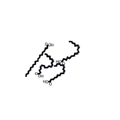 CC/C=C\C/C=C\C/C=C\CCCCCCCC(=O)O.CCCCC/C=C\C/C=C\C/C=C\C/C=C\CCCC(=O)O.CCCCC/C=C\C/C=C\CCCCCCCC(=O)O.CCCCCCCCCCCCCCCCCC=CC(=O)O